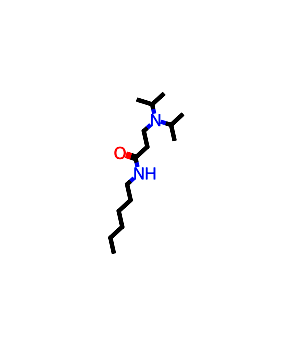 CCCCCCNC(=O)CCN(C(C)C)C(C)C